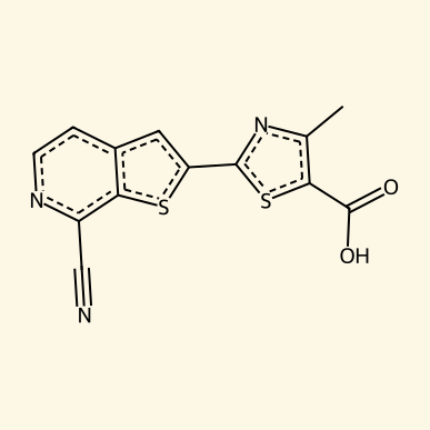 Cc1nc(-c2cc3ccnc(C#N)c3s2)sc1C(=O)O